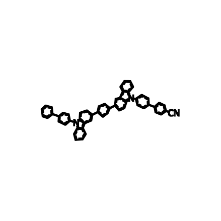 N#Cc1ccc(-c2ccc(-n3c4ccccc4c4cc(-c5ccc(-c6ccc7c(c6)c6ccccc6n7-c6ccc(-c7ccccc7)cc6)cc5)ccc43)cc2)cc1